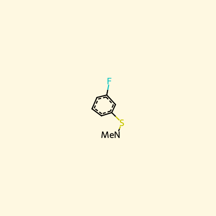 CNSc1cccc(F)c1